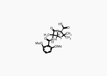 COc1cccc(OC)c1C(=O)NC1(C)C(=O)N2[C@@H](C(=O)S)C(C)(C)S[C@@H]21